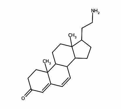 CC12CCC(=O)C=C1C=CC1C2CCC2(C)C(CCN)CCC12